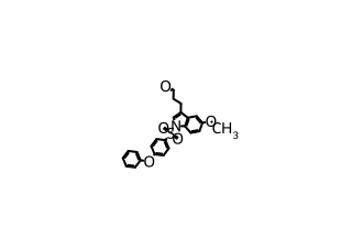 COc1ccc2c(c1)c(CCC=O)cn2S(=O)(=O)c1ccc(Oc2ccccc2)cc1